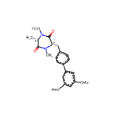 CCCCCCCCN1C(=O)[C@H](Cc2ccc(-c3cc(OC)cc(OC)c3)cc2)N(C)C(=O)[C@@H]1C